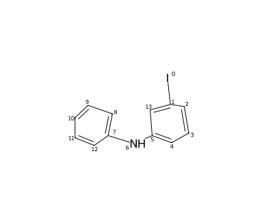 Ic1cccc(Nc2ccccc2)c1